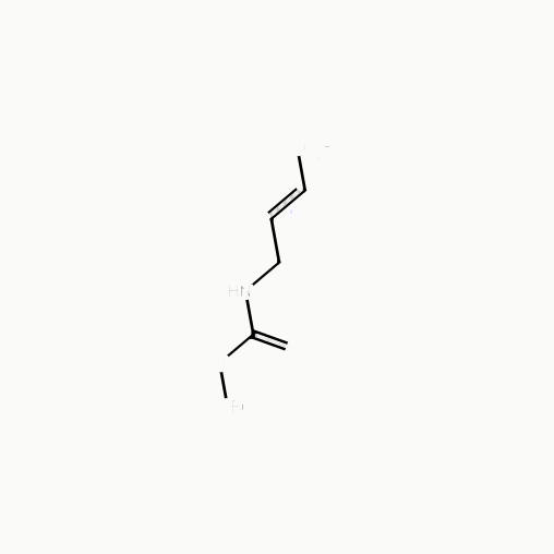 CCOC(=O)/C=C/CNC(=O)OC(C)(C)C